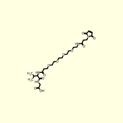 CC(C)C(NC(=O)CCOCCOCCOCCOCCNC(=O)CCN1C(=O)C=CC1=O)C(=O)NCC(=O)O